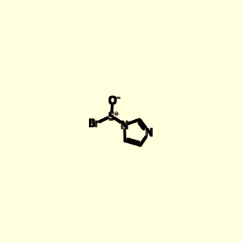 [O-][S+](Br)n1ccnc1